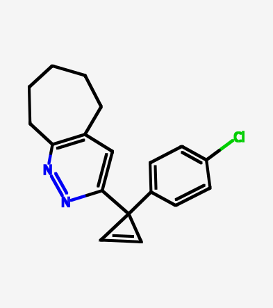 Clc1ccc(C2(c3cc4c(nn3)CCCCC4)C=C2)cc1